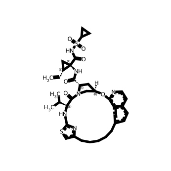 C=C[C@@H]1C[C@]1(NC(=O)[C@@H]1C[C@@H]2CN1C(=O)[C@H](C(C)C)Nc1nc(cs1)CCCCCc1ccc3ccnc(c3c1)O2)C(=O)NS(=O)(=O)C1CC1